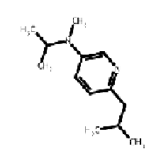 CC(C)Cc1ccc(N(C)C(C)C)cn1